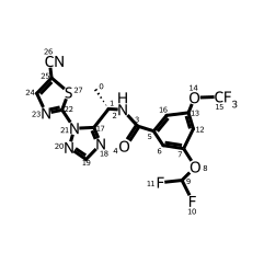 C[C@H](NC(=O)c1cc(OC(F)F)cc(OC(F)(F)F)c1)c1ncnn1-c1ncc(C#N)s1